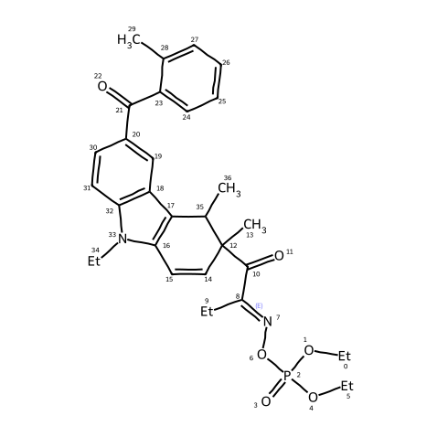 CCOP(=O)(OCC)O/N=C(\CC)C(=O)C1(C)C=Cc2c(c3cc(C(=O)c4ccccc4C)ccc3n2CC)C1C